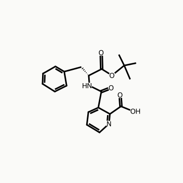 CC(C)(C)OC(=O)[C@@H](Cc1ccccc1)NC(=O)c1cccnc1C(=O)O